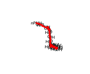 CCCNC(=O)CCCCCNC(=O)CCCCCNC(=O)c1cccc(-c2ccc(OCC(=O)NCCCCCC(=O)NCCCCCC(=O)NCCCO[C@@H]3OC(CO)[C@@H](O[C@@H]4OC(CO)[C@H](O)C(O[C@H]5OC(CO)[C@H](O)C(O)C5O)C4O)C(O)C3NC(C)=O)cc2)c1